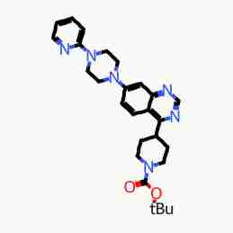 CC(C)(C)OC(=O)N1CCC(c2ncnc3cc(N4CCN(c5ccccn5)CC4)ccc23)CC1